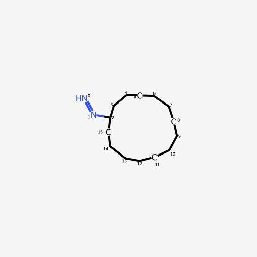 N=NC1CCCCCCCCCCCCC1